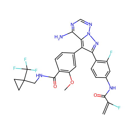 C=C(F)C(=O)Nc1ccc(-c2nn3ncnc(N)c3c2-c2ccc(C(=O)NCC3(C(F)(F)F)CC3)c(OC)c2)c(F)c1